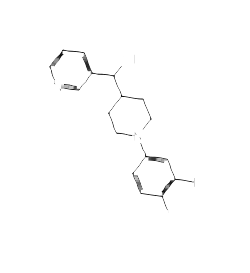 OC(c1cccnc1)C1CCN(c2ccc(Cl)c(F)c2)CC1